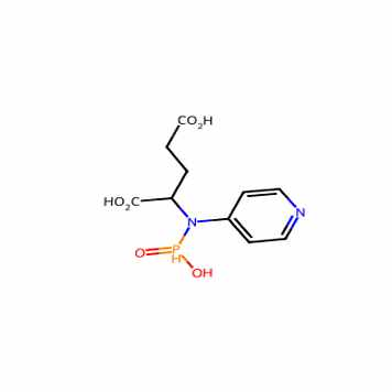 O=C(O)CCC(C(=O)O)N(c1ccncc1)[PH](=O)O